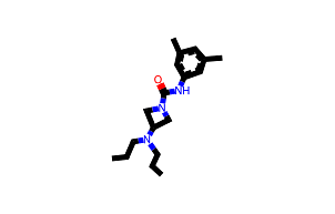 CCCN(CCC)C1CN(C(=O)Nc2cc(C)cc(C)c2)C1